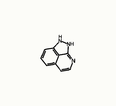 c1cc2c3c(nccc3c1)NN2